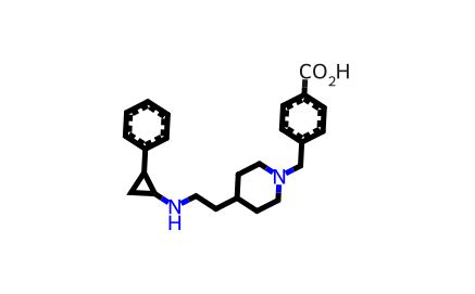 O=C(O)c1ccc(CN2CCC(CCNC3CC3c3ccccc3)CC2)cc1